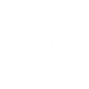 CCOC(OCC)n1cnc(-c2ccc(F)cc2)c1-c1ccncc1